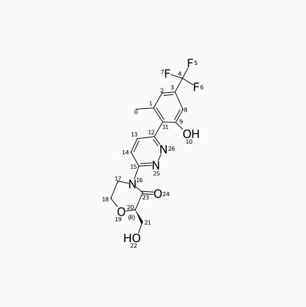 Cc1cc(C(F)(F)F)cc(O)c1-c1ccc(N2CCO[C@H](CO)C2=O)nn1